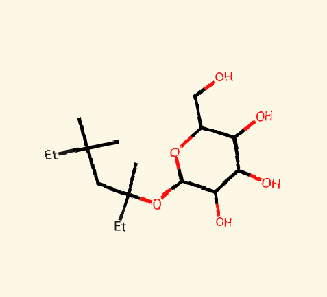 CCC(C)(C)CC(C)(CC)OC1OC(CO)C(O)C(O)C1O